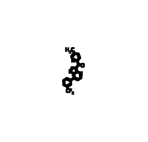 Cc1ccc(C(=O)c2cnn3c(-c4cccc(C(F)(F)F)c4)ccnc23)nc1